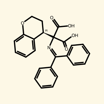 O=C(O)C(N=C(c1ccccc1)c1ccccc1)(C(=O)O)[C@@H]1CCOc2ccccc21